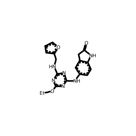 CCOc1nc(NCc2ccco2)nc(Nc2ccc3c(c2)CC(=O)N3)n1